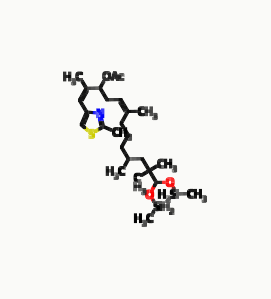 C[SiH2]OC(O[SiH2]C)C(C)(C)CC(C)CCCC(C)=CCC(OC(C)=O)C(C)=Cc1csc(C)n1